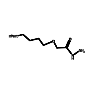 CCCCCCCCCOCC(=O)NN